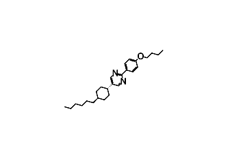 CCCCCC[C@H]1CC[C@H](c2cnc(-c3ccc(OCCCC)cc3)nc2)CC1